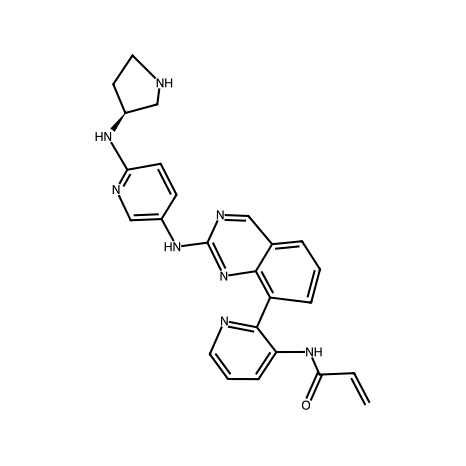 C=CC(=O)Nc1cccnc1-c1cccc2cnc(Nc3ccc(N[C@H]4CCNC4)nc3)nc12